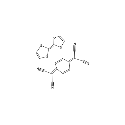 C1=CSC(=C2SC=CS2)S1.N#CC(C#N)=c1ccc(=C(C#N)C#N)cc1